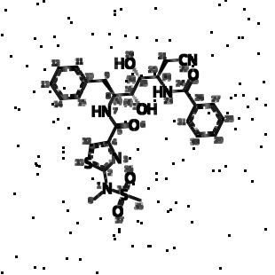 CN(c1nc(C(=O)N[C@@H](Cc2ccccc2)[C@@H](O)[C@H](O)[C@@H](CC#N)NC(=O)c2ccccc2)cs1)S(C)(=O)=O